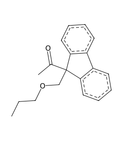 CCCOCC1(C(C)=O)c2ccccc2-c2ccccc21